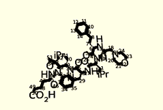 CC(C)C[C@H](NC(=O)[C@H](CCc1ccccc1)NC(=O)CN1CCOCC1)C(=O)N[C@@H](Cc1ccccc1)C(=O)N[C@@H](CC(C)C)/C(=N/NC(=O)CCCC(=O)O)[C@@]1(C)CO1